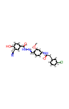 COc1cc(NC(=O)Cc2cccc(Cl)c2)ccc1C=NNC(=O)c1ccc(O)c(C#N)c1